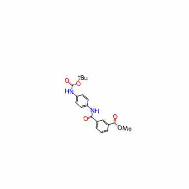 COC(=O)c1cccc(C(=O)Nc2ccc(NC(=O)OC(C)(C)C)cc2)c1